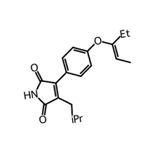 CC=C(CC)Oc1ccc(C2=C(CC(C)C)C(=O)NC2=O)cc1